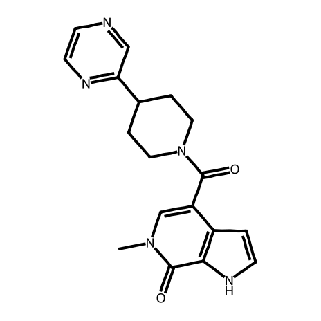 Cn1cc(C(=O)N2CCC(c3cnccn3)CC2)c2cc[nH]c2c1=O